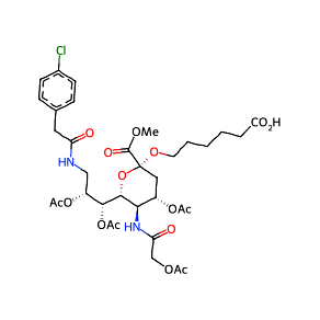 COC(=O)[C@@]1(OCCCCCC(=O)O)C[C@H](OC(C)=O)[C@@H](NC(=O)COC(C)=O)[C@H]([C@H](OC(C)=O)[C@@H](CNC(=O)Cc2ccc(Cl)cc2)OC(C)=O)O1